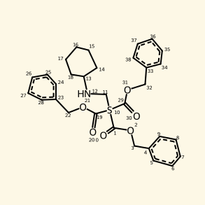 O=C(OCc1ccccc1)S(CNC1CCCCC1)(C(=O)OCc1ccccc1)C(=O)OCc1ccccc1